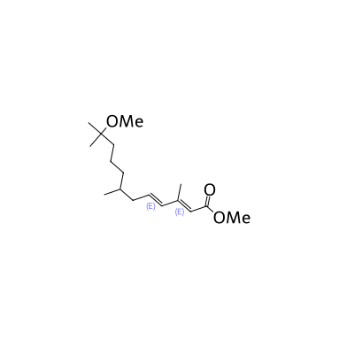 COC(=O)/C=C(C)/C=C/CC(C)CCCC(C)(C)OC